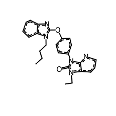 CCCCn1c(Oc2ccc(-n3c(=O)n(CC)c4cccnc43)cc2)nc2ccccc21